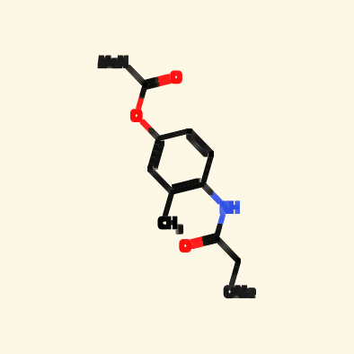 CNC(=O)Oc1ccc(NC(=O)COC)c(C)c1